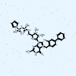 Nc1nc2c(c(=O)[nH]1)[n+](Cc1ccc(-c3ccccc3)cc1F)cn2C1OC(COP(=O)(O)OP(=O)(O)n2cccc2)[C@H](O)[C@@H]1O